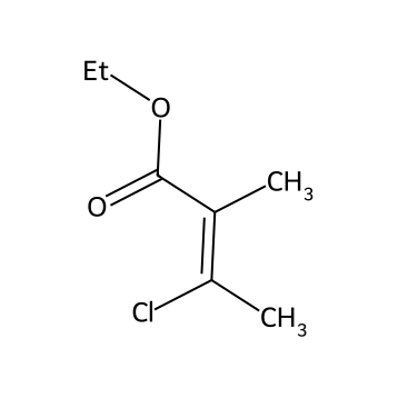 CCOC(=O)/C(C)=C(/C)Cl